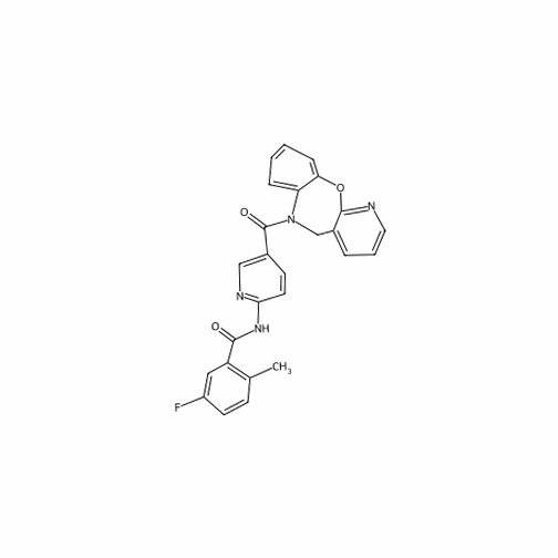 Cc1ccc(F)cc1C(=O)Nc1ccc(C(=O)N2Cc3cccnc3Oc3ccccc32)cn1